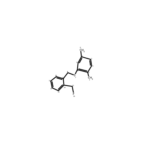 Cc1ccc(C)c(SCc2ccccc2CF)c1